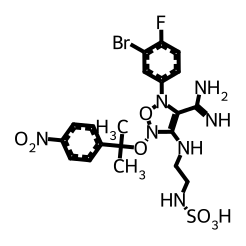 CC(C)(ON1ON(c2ccc(F)c(Br)c2)C(C(=N)N)=C1NCCNS(=O)(=O)O)c1ccc([N+](=O)[O-])cc1